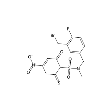 CN(Cc1ccc(F)c(CBr)c1)S(=O)(=O)C1C(=O)C=C([N+](=O)[O-])CC1=S